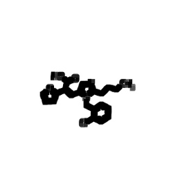 CCCCc1ncc(C=C(C(=O)O)c2ccco2)n1Cc1ccccc1Cl